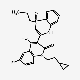 CCOP1(=O)C=C(c2c(O)c3cc(F)ccc3n(CCC3CC3)c2=O)Nc2ccccc21